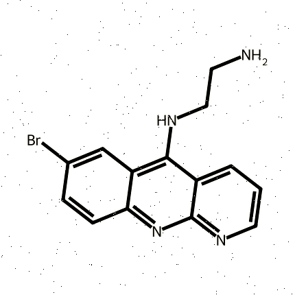 NCCNc1c2cc(Br)ccc2nc2ncccc12